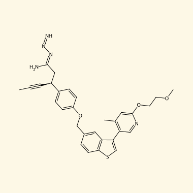 CC#C[C@@H](C/C(N)=N/N=N)c1ccc(OCc2ccc3scc(-c4cnc(OCCOC)cc4C)c3c2)cc1